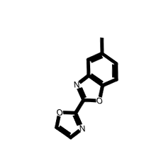 Cc1ccc2oc(-c3ncco3)nc2c1